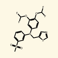 CS(=O)(=O)c1cccc(N(Cc2cncs2)c2ccc(OC(F)F)c(OC(F)F)c2)c1